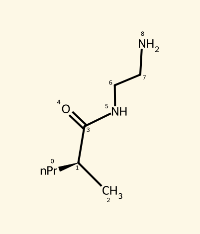 CCC[C@H](C)C(=O)NCCN